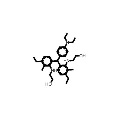 CCc1ccc(C(c2ccc(N(CC)CC)cc2)c2ccc(CC)c(C)c2NCCO)c(NCCO)c1C